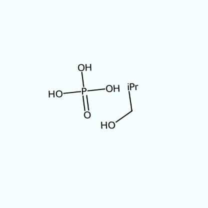 CC(C)CO.O=P(O)(O)O